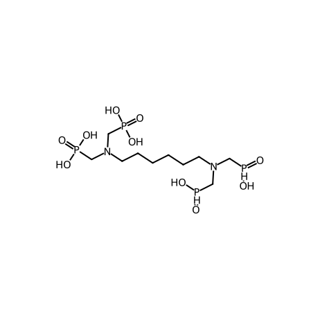 O=[PH](O)CN(CCCCCCN(CP(=O)(O)O)CP(=O)(O)O)C[PH](=O)O